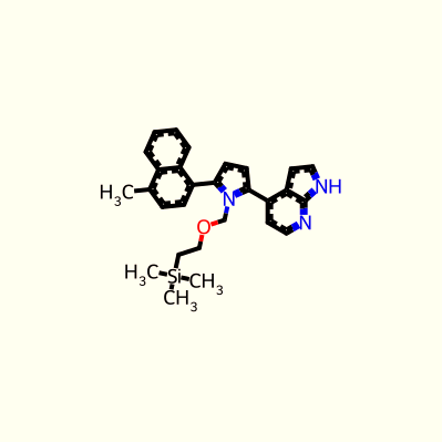 Cc1ccc(-c2ccc(-c3ccnc4[nH]ccc34)n2COCC[Si](C)(C)C)c2ccccc12